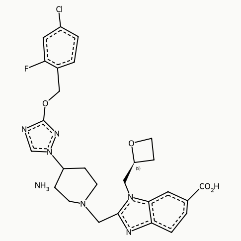 N.O=C(O)c1ccc2nc(CN3CCC(n4cnc(OCc5ccc(Cl)cc5F)n4)CC3)n(C[C@@H]3CCO3)c2c1